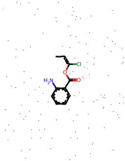 C/C=C(/Cl)OC(=O)c1ccccc1N